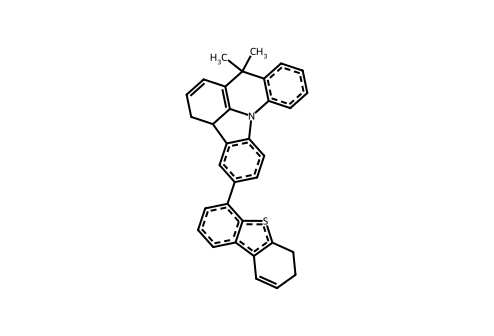 CC1(C)C2=C3C(CC=C2)c2cc(-c4cccc5c6c(sc45)CCC=C6)ccc2N3c2ccccc21